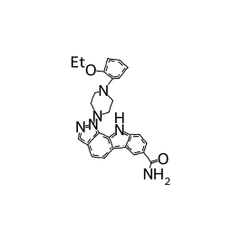 CCOc1ccccc1N1CCN(n2ncc3ccc4c5cc(C(N)=O)ccc5[nH]c4c32)CC1